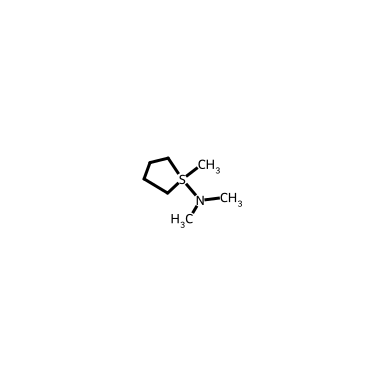 CN(C)S1(C)CCCC1